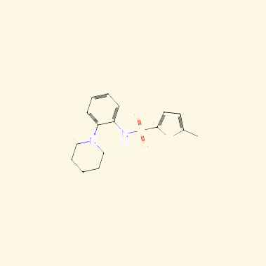 Cc1ccc(S(=O)(=O)Nc2ccccc2N2CCCCC2)s1